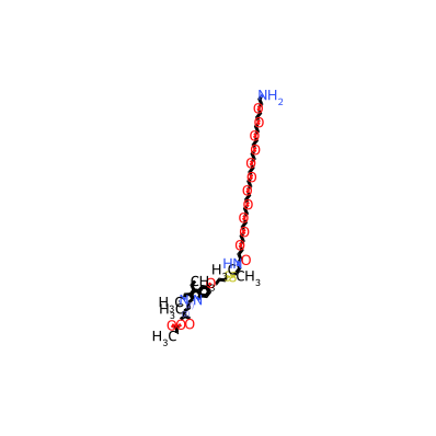 CCC(=O)OC/C(C=O)=C(C)/C=C1/c2nc3ccc(OCCCSSC(C)(C)CNC(=O)CCOCCOCCOCCOCCOCCOCCOCCOCCOCCOCCOCCN)cc3c(CC)c2CN1C